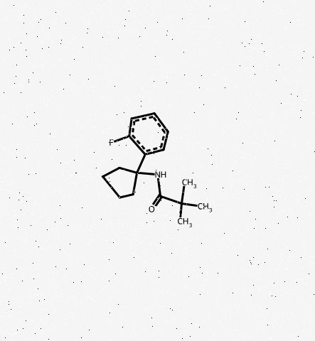 CC(C)(C)C(=O)NC1(c2ccccc2F)CCCC1